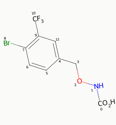 O=C(O)NOCc1ccc(Br)c(C(F)(F)F)c1